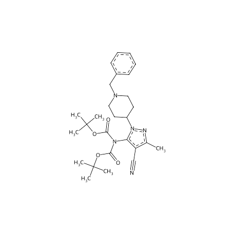 Cc1nn(C2CCN(Cc3ccccc3)CC2)c(N(C(=O)OC(C)(C)C)C(=O)OC(C)(C)C)c1C#N